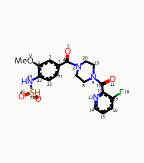 COc1cc(C(=O)N2CCN(C(=O)c3ncccc3F)CC2)ccc1N[SH](=O)=O